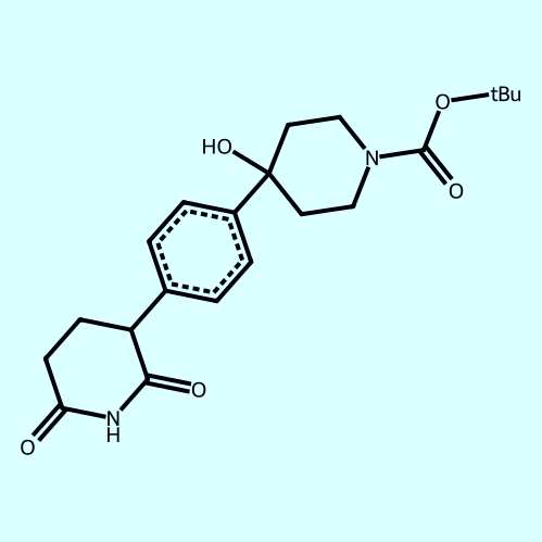 CC(C)(C)OC(=O)N1CCC(O)(c2ccc(C3CCC(=O)NC3=O)cc2)CC1